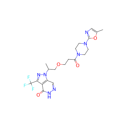 Cc1cnc(N2CCN(C(=O)CCOCC(C)n3nc(C(F)(F)F)c4c(=O)[nH]ncc43)CC2)o1